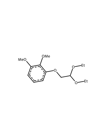 CCOC(COc1cccc(OC)c1OC)OCC